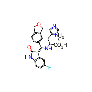 Cn1cncc1CC(NC(=C1C(=O)Nc2ccc(F)cc21)c1ccc2c(c1)COC2)C(=O)O